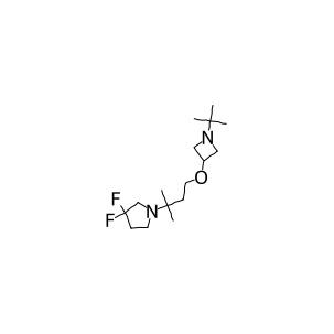 CC(C)(C)N1CC(OCCC(C)(C)N2CCC(F)(F)C2)C1